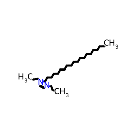 CCCCCCCCCCCCCCCCCCCC1N(CCC)C=CN1CCC